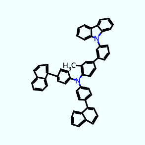 Cc1cc(-c2cccc(-n3c4ccccc4c4ccccc43)c2)ccc1N(c1ccc(-c2cccc3ccccc23)cc1)c1ccc(-c2cccc3ccccc23)cc1